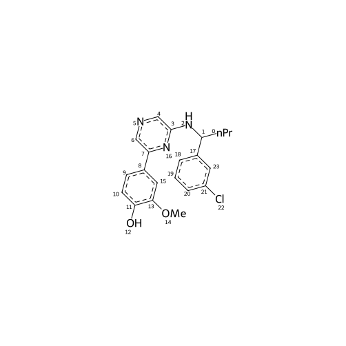 CCCC(Nc1cncc(-c2ccc(O)c(OC)c2)n1)c1cccc(Cl)c1